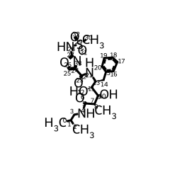 CC(C)CNC(=O)[C@H](C)[C@@H](O)[C@H](O)[C@H](Cc1ccccc1)NC(=O)c1coc(NS(C)(=O)=O)n1